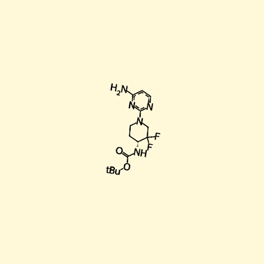 CC(C)(C)OC(=O)N[C@@H]1CCN(c2nccc(N)n2)CC1(F)F